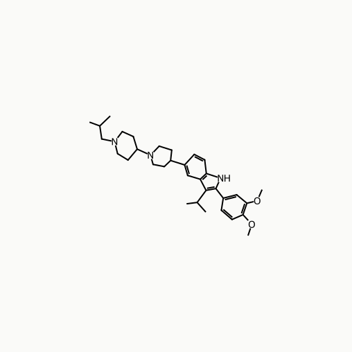 COc1ccc(-c2[nH]c3ccc(C4CCN(C5CCN(CC(C)C)CC5)CC4)cc3c2C(C)C)cc1OC